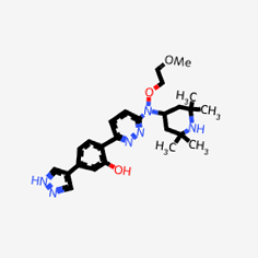 COCCON(c1ccc(-c2ccc(-c3cn[nH]c3)cc2O)nn1)C1CC(C)(C)NC(C)(C)C1